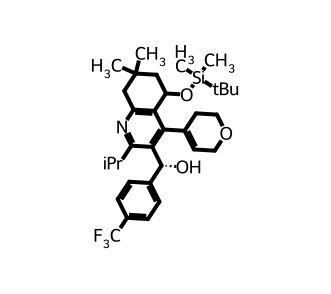 CC(C)c1nc2c(c(C3=CCOCC3)c1[C@H](O)c1ccc(C(F)(F)F)cc1)C(O[Si](C)(C)C(C)(C)C)CC(C)(C)C2